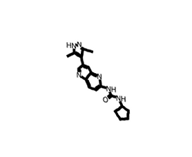 Cc1n[nH]c(C)c1-c1cnc2ccc(NC(=O)NC3CCCC3)nc2c1